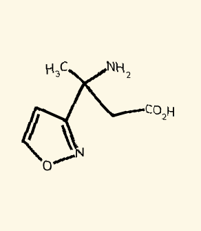 CC(N)(CC(=O)O)c1ccon1